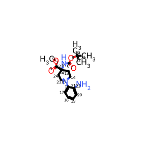 COC(=O)C1(NC(=O)OC(C)(C)C)CCN(c2ccccc2N)CC1